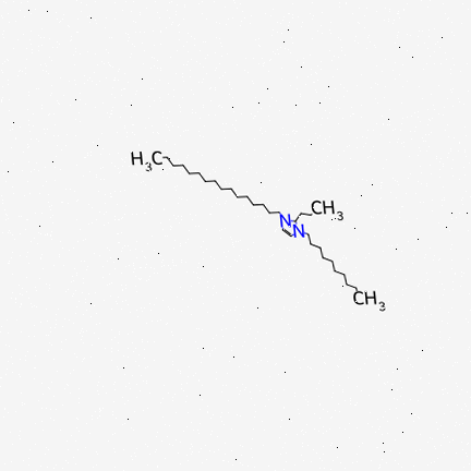 CCCCCCCCCCCCCCCCN1C=CN(CCCCCCCCCC)C1CCC